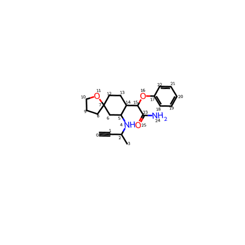 C#CC(C)NC1CC2(CCCO2)CCC1C(Oc1ccccc1)C(N)=O